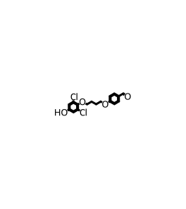 O=Cc1ccc(OCCCCOc2c(Cl)cc(O)cc2Cl)cc1